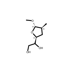 CO[C@H]1O[C@H](C(O)CO)C[C@@H]1C